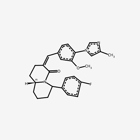 COc1cc(C=C2CC[C@H]3CCCC(c4ccc(F)cc4)N3C2=O)ccc1-n1cnc(C)c1